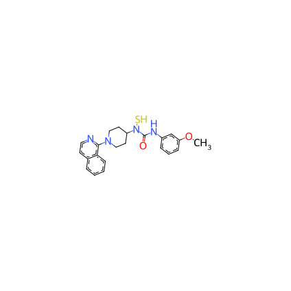 COc1cccc(NC(=O)N(S)C2CCN(c3nccc4ccccc34)CC2)c1